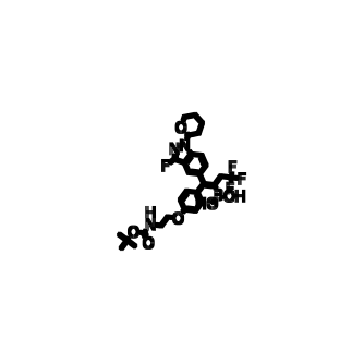 CC(C)(C)OC(=O)NCCOc1ccc(/C(=C(/CC(F)(F)F)B(O)O)c2ccc3c(c2)c(F)nn3C2CCCCO2)cc1